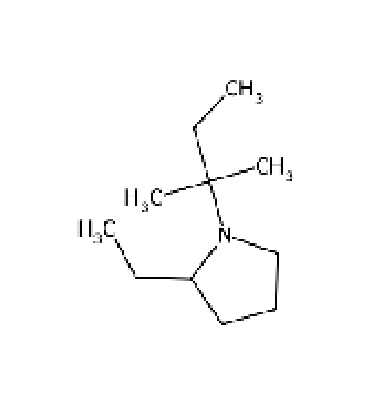 CCC1CCCN1C(C)(C)CC